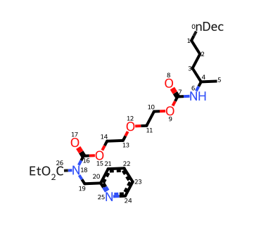 CCCCCCCCCCCCCC(C)NC(=O)OCCOCCOC(=O)N(Cc1ccccn1)C(=O)OCC